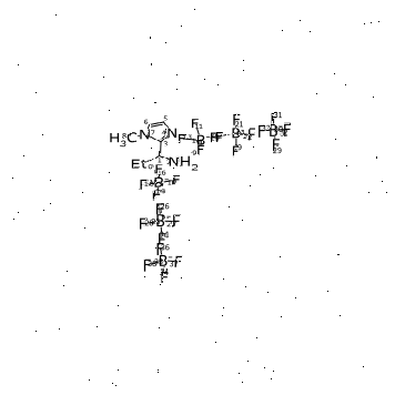 CCC(N)c1nccn1C.F[B-](F)(F)F.F[B-](F)(F)F.F[B-](F)(F)F.F[B-](F)(F)F.F[B-](F)(F)F.F[B-](F)(F)F